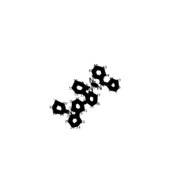 c1ccc(-c2nc(-n3c4ccccc4c4c(-c5ccc6c(c5)c5ccccc5n6-c5ccccc5)cccc43)nc3ccccc23)cc1